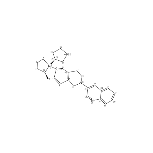 C[C@H]1CCC[N+]1(c1ccc2c(c1)CCN(c1cnc3ccccc3c1)C2)[C@H]1CCNC1